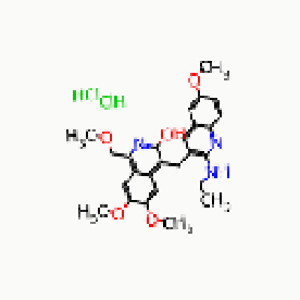 CCNc1nc2ccc(OC)cc2cc1Cc1c(O)nc(COC)c2cc(OC)c(OC)cc12.Cl.Cl